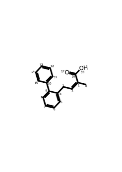 CC(=CCc1ccccc1-c1ccccc1)C(=O)O